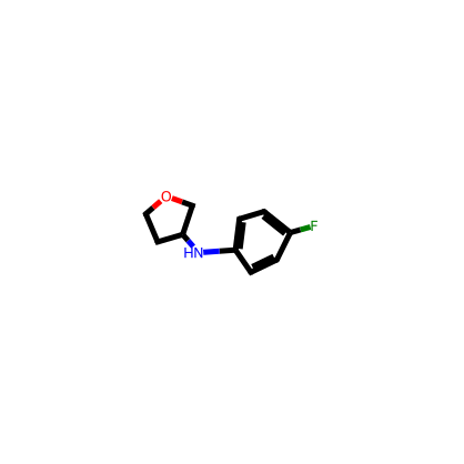 Fc1ccc(NC2CCOC2)cc1